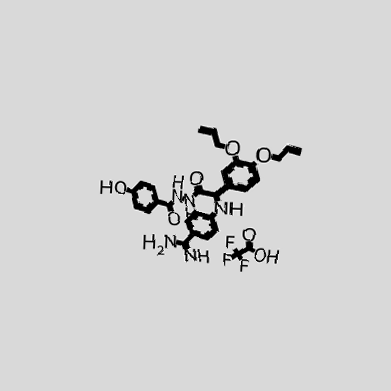 C=CCOc1ccc(C(Nc2ccc(C(=N)N)cc2)C(=O)NNC(=O)c2ccc(O)cc2)cc1OCC=C.O=C(O)C(F)(F)F